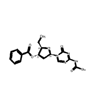 CC(C)(C)C(=O)Nc1ncn([C@H]2C[C@H](OC(=O)c3ccccc3)[C@@H](CO)O2)c(=O)n1